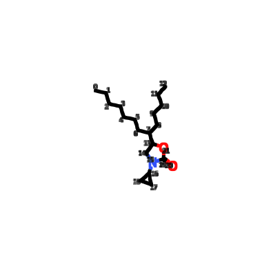 CCCCCCCC(CCCCC)C1CN(C2CC2)C(=O)O1